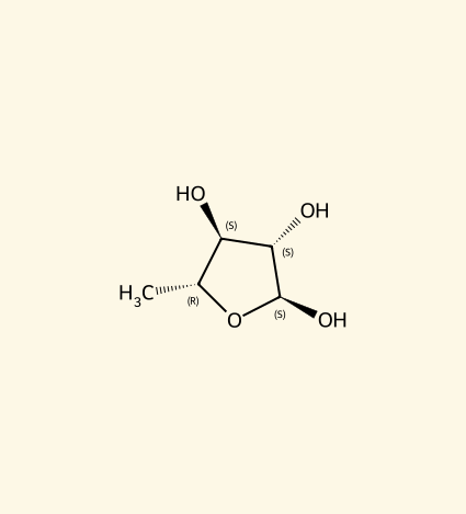 C[C@H]1O[C@H](O)[C@@H](O)[C@@H]1O